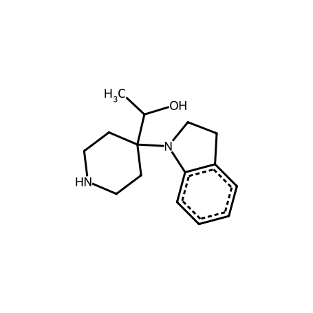 CC(O)C1(N2CCc3ccccc32)CCNCC1